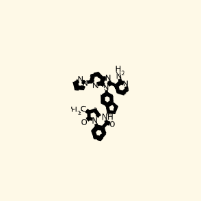 C=C1CCN(c2ccccc2C(=O)N[C@H]2CCc3cc(-n4c(-c5cccnc5N)nc5ccc(-n6cccn6)nc54)ccc32)C1=O